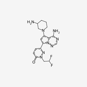 Nc1ncnn2c(-c3ccc(=O)n(CC(F)F)n3)cc(N3CCCC(N)C3)c12